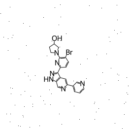 OC1CCN(c2nc(-c3n[nH]c4cnc(-c5cccnc5)cc34)ccc2Br)C1